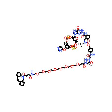 CC(C)C(NC(=O)CCOCCOCCOCCOCCOCCOCCOCCOCCNC(=O)CCC(=O)N1Cc2ccccc2C#Cc2ccccc21)C(=O)NCC(=O)Nc1ccc(COC(=O)N(C)Cc2ccccc2C(=O)Nc2nc3c(ncn3[C@@H]3O[C@@H]4CO[P@@](=O)(S)O[C@H]5C[C@H](Oc6ccncn6)C[C@@H]5CO[P@@](=O)(S)O[C@@H]3C4)c(=O)[nH]2)cc1